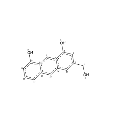 OCc1cc(O)c2cc3c(O)cccc3cc2c1